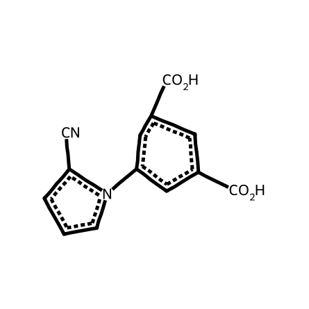 N#Cc1cccn1-c1cc(C(=O)O)cc(C(=O)O)c1